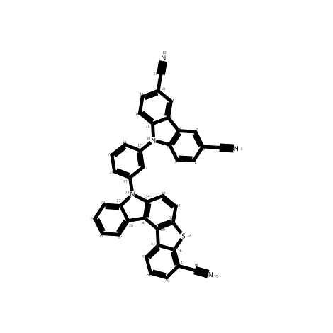 N#Cc1ccc2c(c1)c1cc(C#N)ccc1n2-c1cccc(-n2c3ccccc3c3c4c(ccc32)sc2c(C#N)cccc24)c1